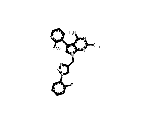 COc1ncccc1-c1cn(Cc2cn(-c3ccccc3F)nn2)c2nc(C)nc(N)c12